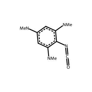 CNc1cc(NC)c(N=C=O)c(NC)c1